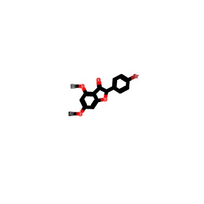 CCOc1cc(OCC)c2c(c1)OC(c1ccc(Br)cc1)C2=O